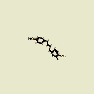 Cc1cc(CCCCc2ccc(O)cc2)ccc1O